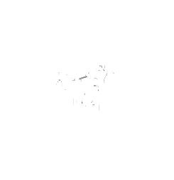 CC1(CO)CCN(c2cc(Cl)ncc2C#CC2CCOCC2)CC1